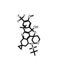 COc1cc(C2(O)OC3(CCOCC3)c3c4c(nc(C(C)C)c32)CC2(CC2)C[C@@H]4O[Si](C)(C)C(C)(C)C)ccc1C(F)(F)F